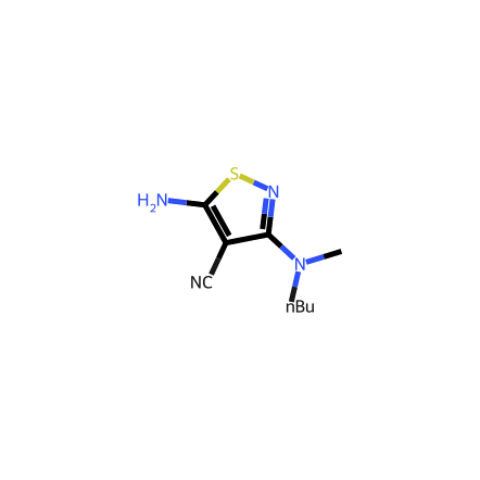 CCCCN(C)c1nsc(N)c1C#N